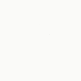 C=CCc1cccc([SiH2]Cl)c1CC=C